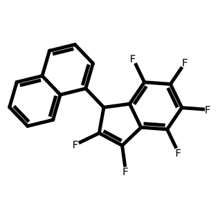 FC1=C(F)C(c2cccc3ccccc23)c2c(F)c(F)c(F)c(F)c21